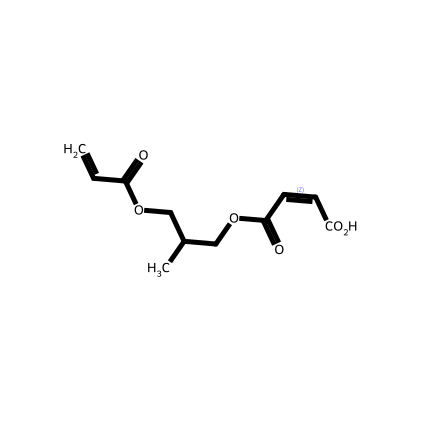 C=CC(=O)OCC(C)COC(=O)/C=C\C(=O)O